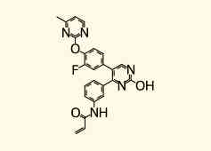 C=CC(=O)Nc1cccc(-c2nc(O)ncc2-c2ccc(Oc3nccc(C)n3)c(F)c2)c1